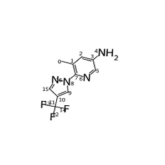 Cc1cc(N)cnc1-n1cc(C(F)(F)F)cn1